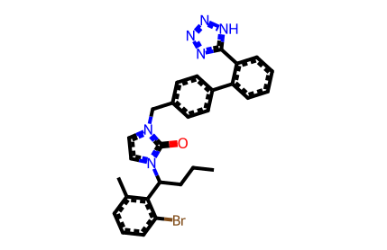 CCCC(c1c(C)cccc1Br)n1ccn(Cc2ccc(-c3ccccc3-c3nnn[nH]3)cc2)c1=O